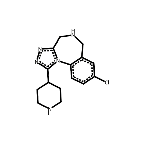 Clc1ccc2c(c1)CNCc1nnc(C3CCNCC3)n1-2